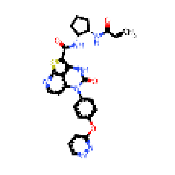 C=CC(=O)N[C@H]1CCC[C@H]1NC(=O)c1sc2nccc3c2c1NC(=O)N3c1ccc(Oc2cccnn2)cc1